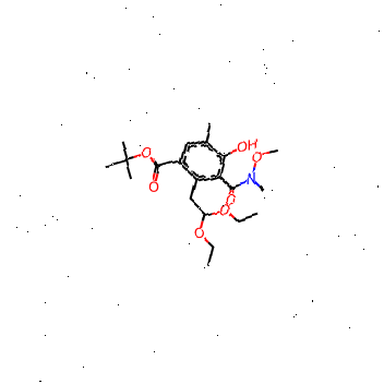 CCOC(Cc1c(C(=O)OC(C)(C)C)cc(C)c(O)c1C(=O)N(C)OC)OCC